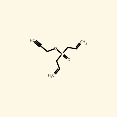 C#CCOP(=O)(CC=C)CC=C